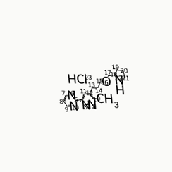 Cc1nnc(-c2ncccn2)cc1CCCOCC1CCCN1.Cl